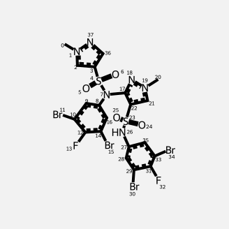 Cn1cc(S(=O)(=O)N(c2cc(Br)c(F)c(Br)c2)c2nn(C)cc2S(=O)(=O)Nc2cc(Br)c(F)c(Br)c2)cn1